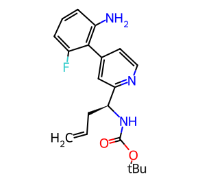 C=CC[C@H](NC(=O)OC(C)(C)C)c1cc(-c2c(N)cccc2F)ccn1